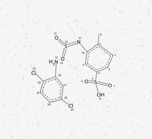 Cc1ccc(S(=O)(=O)O)cc1N=S(=O)=O.Nc1cc(Cl)ccc1Cl